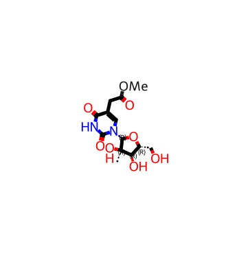 COC(=O)Cc1cn([C@@H]2O[C@H](CO)[C@@H](O)[C@@]2(C)O)c(=O)[nH]c1=O